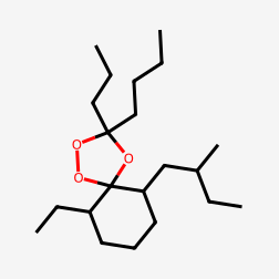 CCCCC1(CCC)OOC2(O1)C(CC)CCCC2CC(C)CC